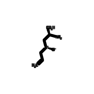 C=CC[S@@+]([O-])C[C@H](N)C(=O)O